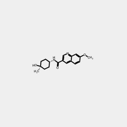 COc1ccc2cc(C(=O)N[C@H]3CC[C@](C)(O)CC3)cnc2c1